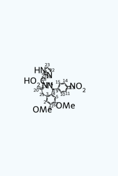 COc1cc2c(cc1OC)C(c1ccc([N+](=O)[O-])cc1)=NN(C(=O)O)C(C)C2.c1c[nH]cn1